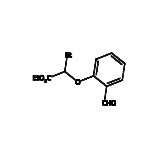 CCOC(=O)C(CC)Oc1ccccc1C=O